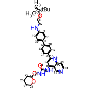 CC(C)(C)[Si](C)(C)OCCNc1ccc(-c2ccc(-c3cc(NC(=O)NOC4CCCCO4)c4cnccc4n3)cc2)cc1